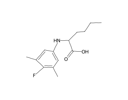 CCCCC(Nc1cc(C)c(F)c(C)c1)C(=O)O